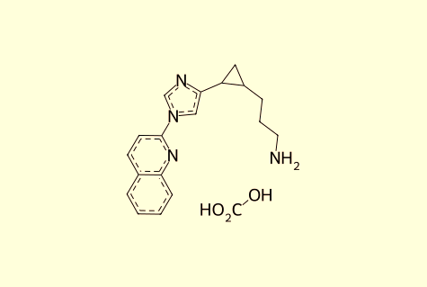 NCCCC1CC1c1cn(-c2ccc3ccccc3n2)cn1.O=C(O)O